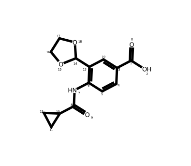 O=C(O)c1ccc(NC(=O)C2CC2)c(C2OCCO2)c1